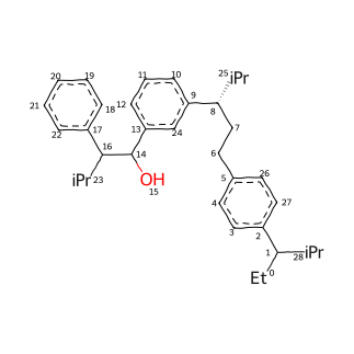 CCC(c1ccc(CC[C@H](c2cccc(C(O)C(c3ccccc3)C(C)C)c2)C(C)C)cc1)C(C)C